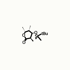 C[C@@H]1[C@H](O[Si](C)(C)C(C)(C)C)[C@@H](C)C(=O)O[C@@H]1C